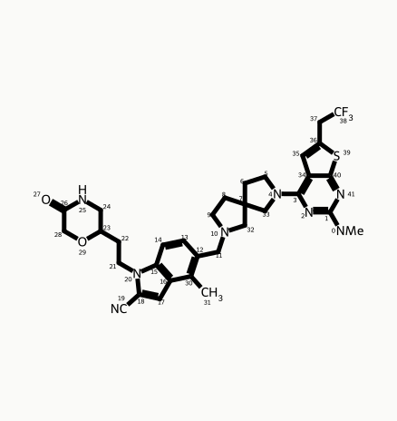 CNc1nc(N2CCC3(CCN(Cc4ccc5c(cc(C#N)n5CCC5CNC(=O)CO5)c4C)C3)C2)c2cc(CC(F)(F)F)sc2n1